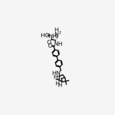 C[C@@H]1[C@@H](NCc2ccc(-c3ccc(C(=O)N[C@@H](CN)C(=O)NO)cc3)cc2)CC2C[C@@H]1C2(C)C